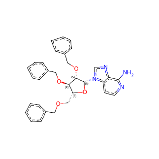 Nc1nccc2c1ncn2[C@@H]1O[C@H](COCc2ccccc2)[C@@H](OCc2ccccc2)[C@@H]1OCc1ccccc1